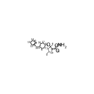 CCCC(C)(Oc1ccc(Cc2cccs2)cc1)C(C)C(=O)ON